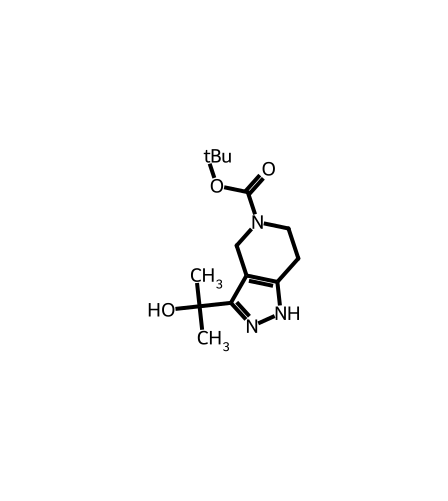 CC(C)(C)OC(=O)N1CCc2[nH]nc(C(C)(C)O)c2C1